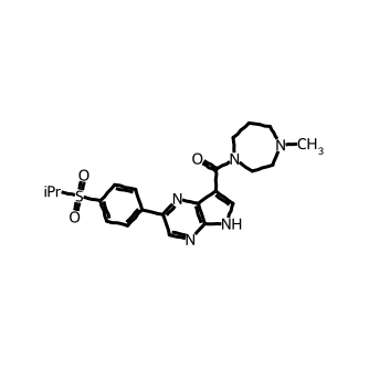 CC(C)S(=O)(=O)c1ccc(-c2cnc3[nH]cc(C(=O)N4CCCN(C)CC4)c3n2)cc1